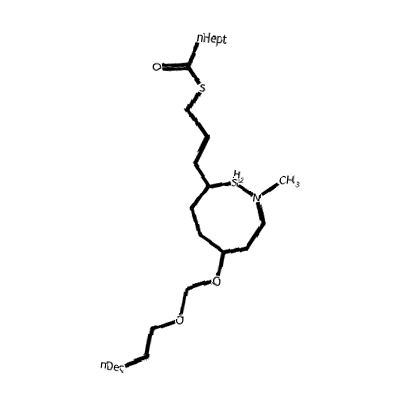 CCCCCCCCCCCCOCOC1CCC(CCCSC(=O)CCCCCCC)[SiH2]N(C)CC1